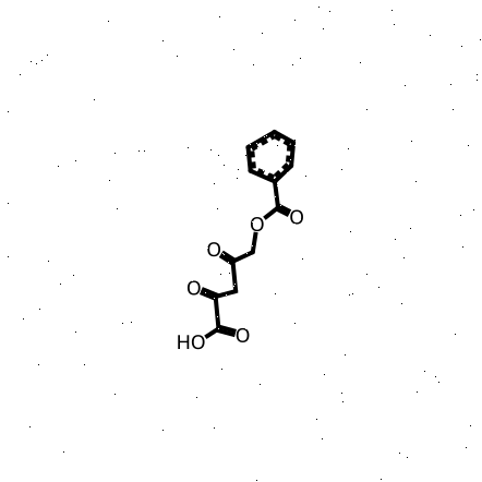 O=C(COC(=O)c1ccccc1)CC(=O)C(=O)O